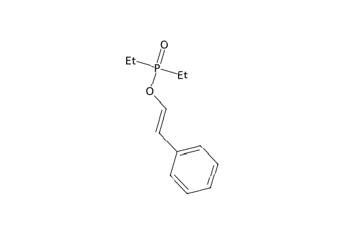 CCP(=O)(CC)OC=Cc1ccccc1